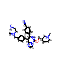 CN1CCN(Cc2ccc(-c3c(-c4ccc(C#N)cc4)nc(OC[C@@H]4CCCN(C)C4)n4ccnc34)cc2)CC1